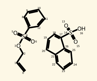 C=CCOS(=O)(=O)c1ccccc1.O=S(=O)(O)c1cccc2ccccc12